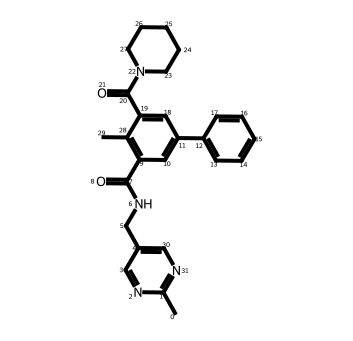 Cc1ncc(CNC(=O)c2cc(-c3ccccc3)cc(C(=O)N3CCCCC3)c2C)cn1